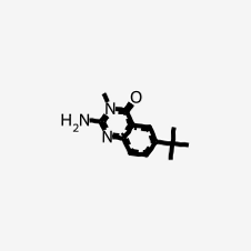 Cn1c(N)nc2ccc(C(C)(C)C)cc2c1=O